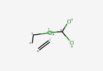 C=C.CCCl.ClC(Cl)Cl